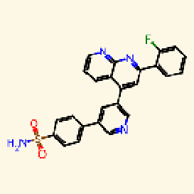 NS(=O)(=O)c1ccc(-c2cncc(-c3cc(-c4ccccc4F)nc4ncccc34)c2)cc1